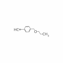 C#Cc1ccc(COCCC)cc1